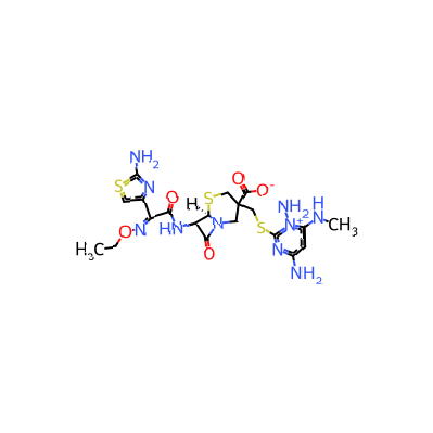 CCON=C(C(=O)NC1C(=O)N2CC(CSc3nc(N)cc(NC)[n+]3N)(C(=O)[O-])CS[C@H]12)c1csc(N)n1